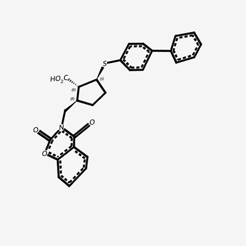 O=C(O)[C@H]1[C@H](Cn2c(=O)oc3ccccc3c2=O)CC[C@@H]1Sc1ccc(-c2ccccc2)cc1